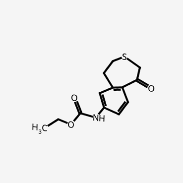 CCOC(=O)Nc1ccc2c(c1)CCSCC2=O